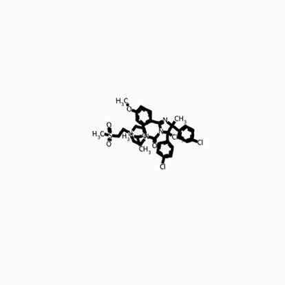 COc1ccc(C2=NC(C)(c3ccc(Cl)cc3)C(C)(c3ccc(Cl)cc3)N2C(=O)N2CCN(CCS(C)(=O)=O)CC2)c(OC(C)C)c1